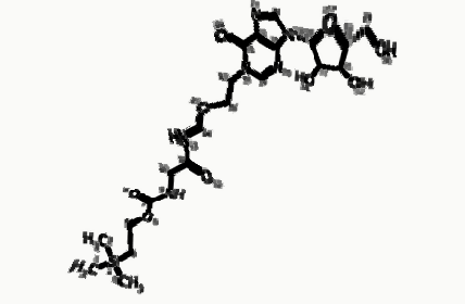 C[Si](C)(C)CCOC(=O)NCC(=O)NCOCCn1cnc2c(ncn2[C@@H]2O[C@H](CO)[C@@H](O)[C@H]2O)c1=O